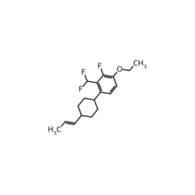 C/C=C/C1CCC(c2ccc(OCC)c(F)c2C(F)F)CC1